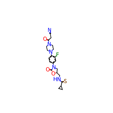 N#CCC(=O)N1CCN(c2ccc(N3CC(CNC(=S)C4CC4)OC3=O)cc2F)CC1